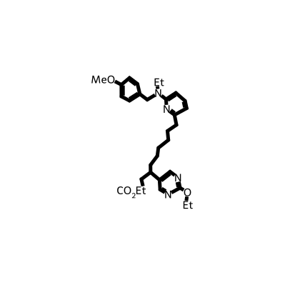 CCOC(=O)CC(CCCCCCc1cccc(N(CC)Cc2ccc(OC)cc2)n1)c1cnc(OCC)nc1